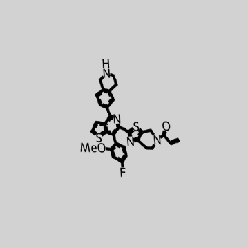 C=CC(=O)N1CCc2nc(-c3nc(-c4ccc5c(c4)CCNC5)c4ccsc4c3-c3ccc(F)cc3OC)sc2C1